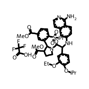 CCOc1cc(C(Nc2ccc3c(N)nccc3c2)C(=O)N2CCC(C(=O)OC)C2c2cc(C(=O)OC)ccc2S(=O)(=O)C(C)C)ccc1OC(C)C.O=C(O)C(F)(F)F